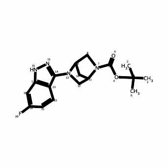 CC(C)(C)OC(=O)N1CC2CC1CN2c1n[nH]c2cc(F)ccc12